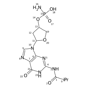 CC(C)C(=O)Nc1nc2c(ncn2C2CC(OP(N)(=O)O)CO2)c(=O)[nH]1